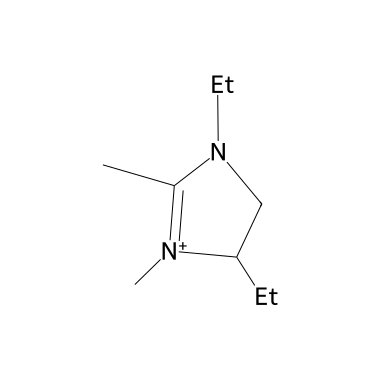 CCC1CN(CC)C(C)=[N+]1C